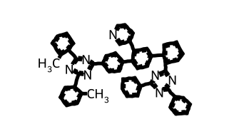 Cc1ccccc1-c1nc(-c2ccc(-c3ccc(-c4ccccc4-c4nc(-c5ccccc5)nc(-c5ccccc5)n4)cc3-c3cccnc3)cc2)nc(-c2ccccc2C)n1